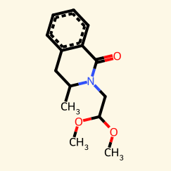 COC(CN1C(=O)c2ccccc2CC1C)OC